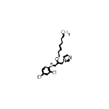 CCCCCCCCOC(CSc1ccc(Cl)cc1Cl)Cn1ccnc1